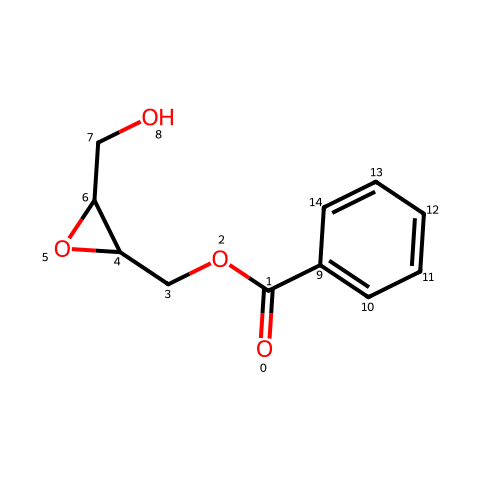 O=C(OCC1OC1CO)c1ccccc1